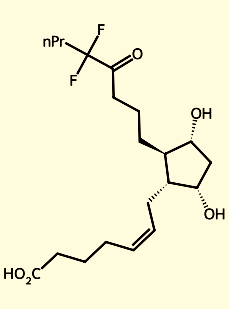 CCCC(F)(F)C(=O)CCC[C@@H]1[C@@H](C/C=C\CCCC(=O)O)[C@@H](O)C[C@H]1O